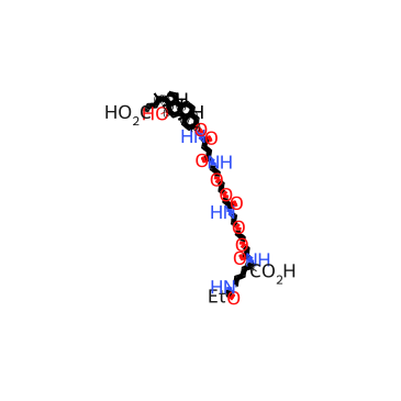 CCC(=O)NCCCC[C@H](NC(=O)COCCOCCNC(=O)COCCOCCNC(=O)CCC(=O)NO[C@H]1CC[C@]2(C)C3C[C@H](O)[C@@]4(C)C(CC[C@@H]4[C@H](C)CCC(=O)O)[C@@H]3CC[C@@H]2C1)C(=O)O